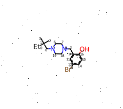 CCC(C)(C)CN1CCN(Cc2cc(Br)ccc2O)CC1